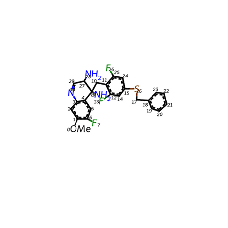 COc1cc2c(cc1F)C(N)(Cc1c(F)cc(SCc3ccccc3)cc1F)C(N)C=N2